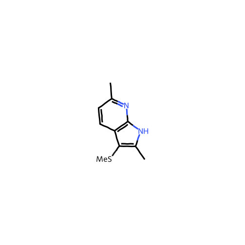 CSc1c(C)[nH]c2nc(C)ccc12